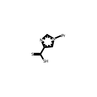 CC(C)n1cnc(C(=S)S)c1